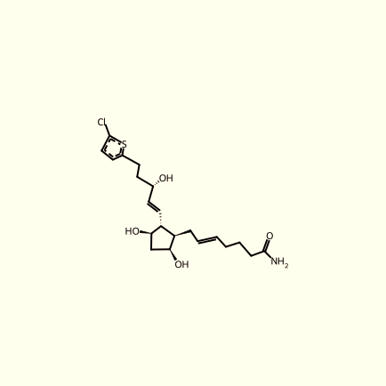 NC(=O)CCCC=CC[C@@H]1[C@@H](C=C[C@@H](O)CCc2ccc(Cl)s2)[C@H](O)C[C@@H]1O